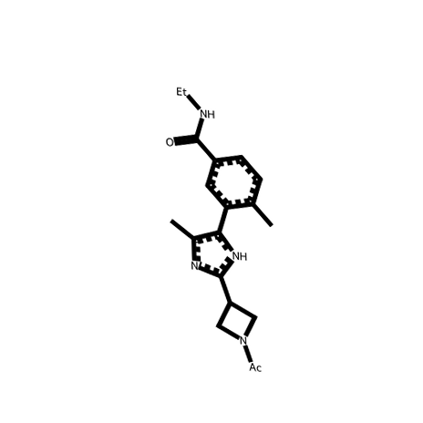 CCNC(=O)c1ccc(C)c(-c2[nH]c(C3CN(C(C)=O)C3)nc2C)c1